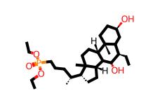 CCOP(=O)(CCC[C@@H](C)[C@H]1CC[C@H]2C3[C@H](O)[C@H](CC)C4C[C@H](O)CC[C@@]4(C)[C@H]3CCC12C)OCC